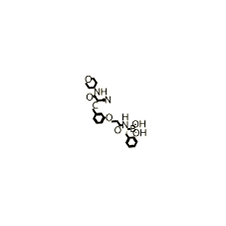 N#CC(=C=Cc1cccc(OCCC(=O)N[C@@H](Cc2ccccc2)B(O)O)c1)C(=O)NC1CCOCC1